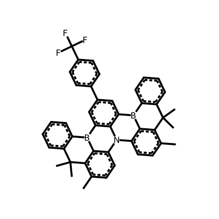 Cc1ccc2c3c1C(C)(C)c1ccccc1B3c1cc(-c3ccc(C(F)(F)F)cc3)cc3c1N2c1ccc(C)c2c1B3c1ccccc1C2(C)C